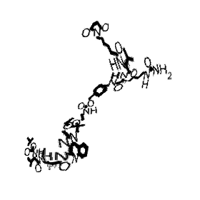 CCOCc1nc2c(NC(=O)[C@H](C)NC(=O)[C@@H](NC(=O)OC(C)(C)C)C(C)C)nc3ccccc3c2n1CC(C)(C)OCCNC(=O)OCc1ccc(NC(=O)[C@H](CCCCNC(N)=O)NC(=O)[C@@H](NC(=O)CCCCCN2C(=O)C=CC2=O)C(C)C)cc1